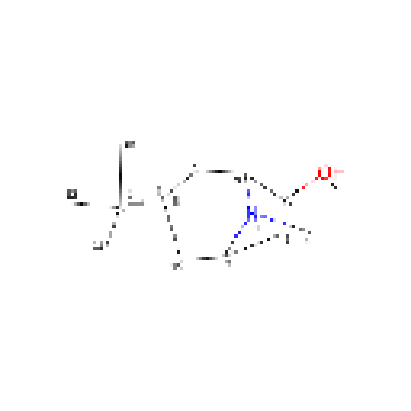 CN1C2CC(O)C1C[C@@H](C(C)(C)C)C2